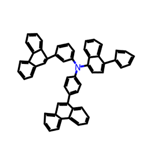 c1ccc(-c2ccc(N(c3ccc(-c4cc5ccccc5c5ccccc45)cc3)c3cccc(-c4cc5ccccc5c5ccccc45)c3)c3ccccc23)cc1